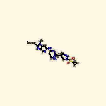 CNc1nc2cnc(Nc3ccnc(-c4cnn(S(=O)(=O)C5CC5)c4)n3)cc2n1C(C)C